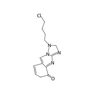 O=C1CC=CC2=CN3C(=NCN3CCCCCl)N=C12